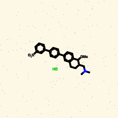 COC1c2ccc(-c3ccc(-c4cccc([N+](=O)[O-])c4)cc3)cc2CCC1CN(C)C.Cl